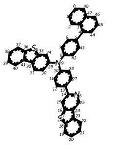 c1ccc2c(-c3ccc(N(c4ccc(-c5cc6sc7ccccc7c6cn5)cc4)c4ccc5c(c4)sc4ccccc45)cc3)cccc2c1